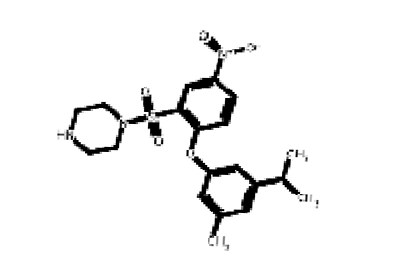 Cc1cc(Oc2ccc([N+](=O)[O-])cc2S(=O)(=O)N2CCNCC2)cc(C(C)C)c1